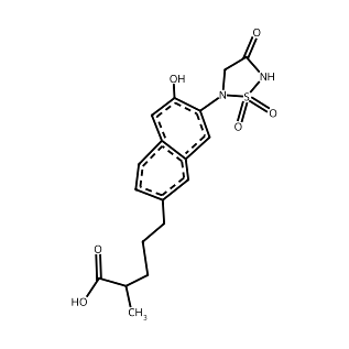 CC(CCCc1ccc2cc(O)c(N3CC(=O)NS3(=O)=O)cc2c1)C(=O)O